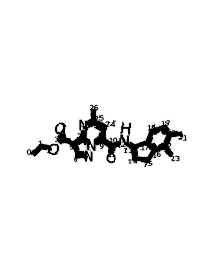 CCOC(=O)c1cnn2c(C(=O)NC3CCc4c3ccc(C)c4C)cc(C)nc12